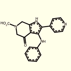 O=C1CN(C(=O)O)Cc2[nH]c(-c3ccncc3)c(Nc3ccccc3)c21